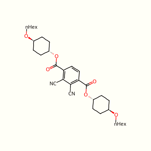 CCCCCCO[C@H]1CC[C@H](OC(=O)c2ccc(C(=O)O[C@H]3CC[C@H](OCCCCCC)CC3)c(C#N)c2C#N)CC1